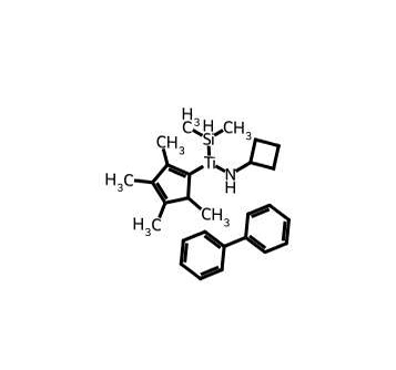 CC1=C(C)C(C)[C]([Ti]([NH]C2CCC2)[SiH](C)C)=C1C.c1ccc(-c2ccccc2)cc1